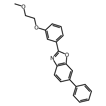 COCCOc1cccc(-c2nc3ccc(-c4ccccc4)cc3o2)c1